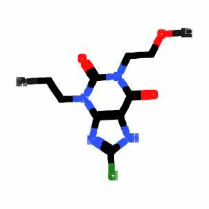 CCOCCn1c(=O)c2[nH]c(Cl)nc2n(CCC(C)C)c1=O